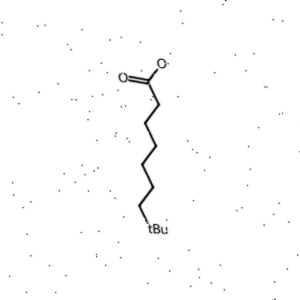 CC(C)(C)CCCCCCC([O])=O